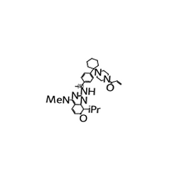 C=CC(=O)N1CCN(C2(c3ccc([C@H](C)Nc4nc(NC)c5c(n4)C(C(C)C)C(=O)C=C5)cc3)CCCCC2)CC1